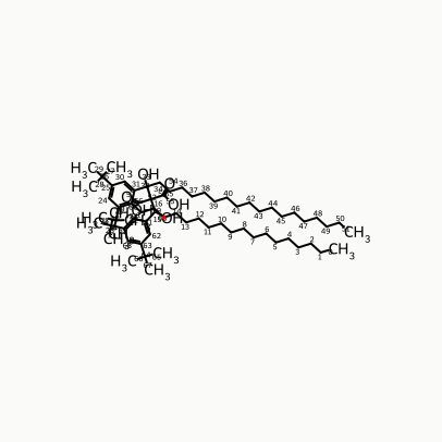 CCCCCCCCCCCCCCCCCCc1c(C(C)(C)C)cc(C(C)(C)C)cc1C(O)(CCCCCCCCCCCCCCCCCC)C(C(=O)O)(C(=O)O)C(O)c1cc(C(C)(C)C)cc(C(C)(C)C)c1